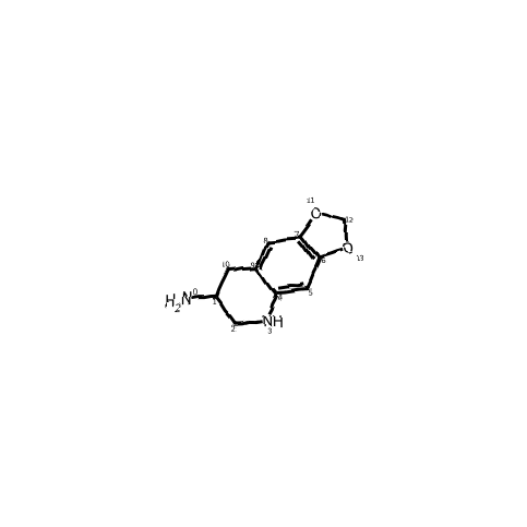 NC1CNc2cc3c(cc2C1)OCO3